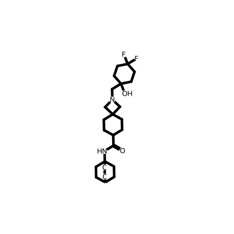 O=C(NC12CCC(CC1)CC2)C1CCC2(CC1)CN(CC1(O)CCC(F)(F)CC1)C2